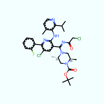 Cc1ccnc(C(C)C)c1Nc1nc(-c2ccccc2F)c(Cl)cc1C(=NC(=O)CCl)N1C[C@@H](C)N(C(=O)OC(C)(C)C)C[C@@H]1C